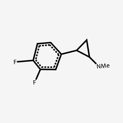 CNC1CC1c1ccc(F)c(F)c1